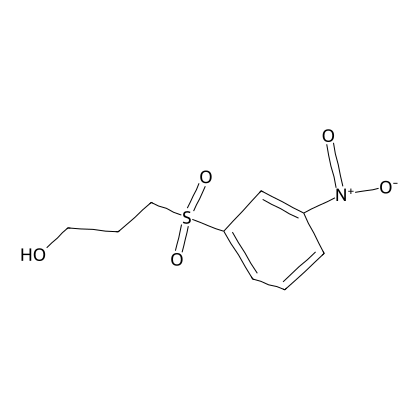 O=[N+]([O-])c1cccc(S(=O)(=O)CCCO)c1